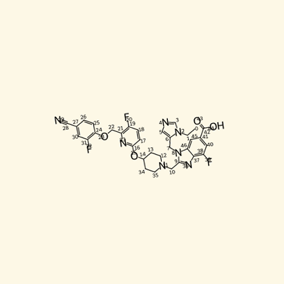 CCn1cncc1Cn1c(CN2CCC(Oc3ccc(F)c(COc4ccc(C#N)cc4F)n3)CC2)nc2c(F)cc(C(=O)O)cc21